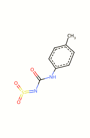 Cc1ccc(NC(=O)N=S(=O)=O)cc1